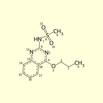 CCCOc1nc(NS(C)(=O)=O)nc2ccccc12